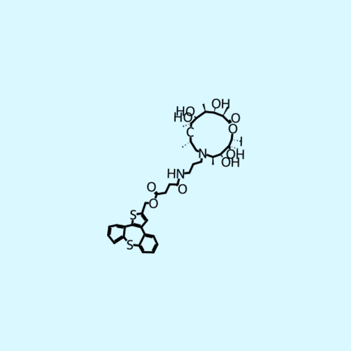 C[C@H]1CN(CCCNC(=O)CCC(=O)OCc2cc3c(s2)-c2ccccc2Sc2ccccc2-3)[C@H](C)[C@@H](O)[C@](C)(O)[C@@H](I)OC(=O)[C@H](C)[C@@H](O)[C@H](C)[C@@H](O)[C@](C)(O)C1